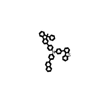 CC1(c2ccccc2)c2ccccc2-c2ccc(-c3ccc(N(c4ccc(-c5ccc6ccccc6c5)cc4)c4ccc(-c5cccc6sc7ccccc7c56)cc4)cc3)cc21